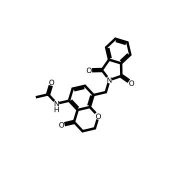 CC(=O)Nc1ccc(CN2C(=O)c3ccccc3C2=O)c2c1C(=O)CCO2